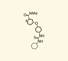 CNC(=O)c1cc(Oc2ccc(NC(=S)NC3CCCCC3)cc2)ccn1